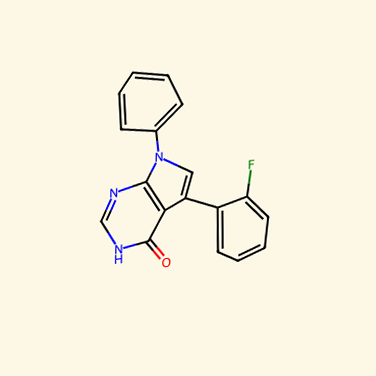 O=c1[nH]cnc2c1c(-c1ccccc1F)cn2-c1ccccc1